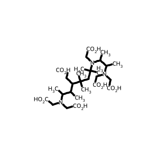 CC(C(C)N(CC(=O)O)CC(=O)O)C(CC(=O)O)C(C)(C)CC(C)(C)N(CC(=O)O)C(C)C(C)N(CC(=O)O)CC(=O)O